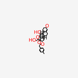 Cc1ccc(CC(=O)O[C@]2(C(=O)CO)CC[C@H]3[C@@H]4CCC5=CC(=O)CC[C@]5(C)[C@H]4[C@@H](O)C[C@@]32C)cc1